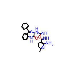 Cc1ccc(C(=N)OC(=N)NC2N=C(c3ccccc3)c3ccccc3NC2=O)c(N)n1